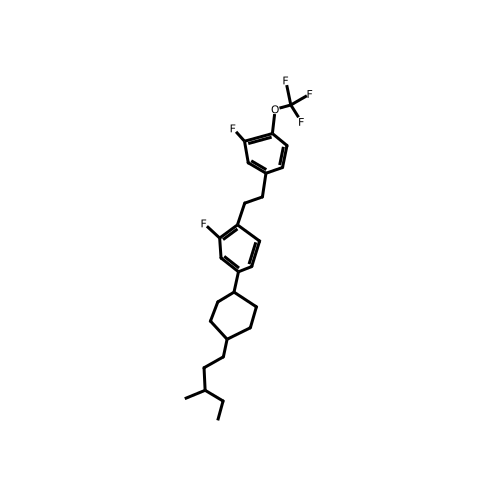 CCC(C)CCC1CCC(c2ccc(CCc3ccc(OC(F)(F)F)c(F)c3)c(F)c2)CC1